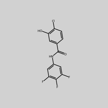 O=C(Nc1cc(F)c(F)c(F)c1)c1ccc(Cl)c(O)c1